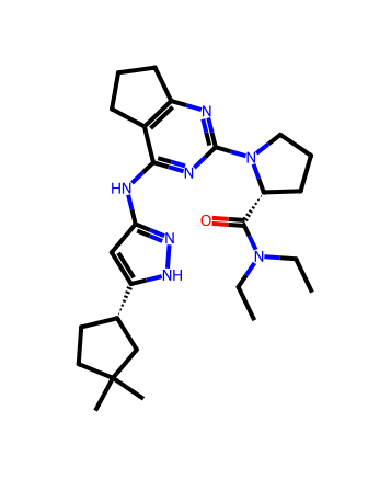 CCN(CC)C(=O)[C@H]1CCCN1c1nc2c(c(Nc3cc([C@H]4CCC(C)(C)C4)[nH]n3)n1)CCC2